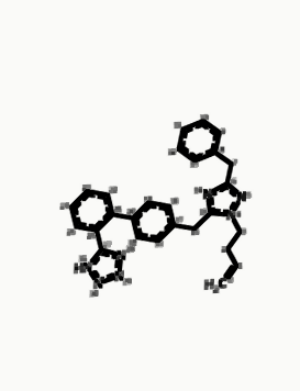 C=CCCn1nc(Cc2ccccc2)nc1Cc1ccc(-c2ccccc2-c2nnn[nH]2)cc1